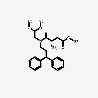 CCOC(CN(CCC(c1ccccc1)c1ccccc1)C(=O)[C@@H](N)CC(=O)OC(C)(C)C)OCC